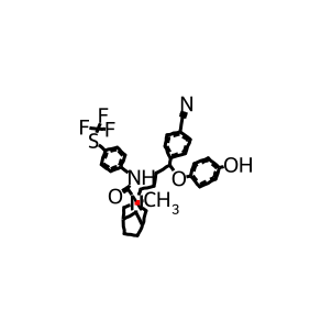 CN(C(=O)Nc1ccc(SC(F)(F)F)cc1)C1C2CCC1CN(CCCC(Oc1ccc(O)cc1)c1ccc(C#N)cc1)C2